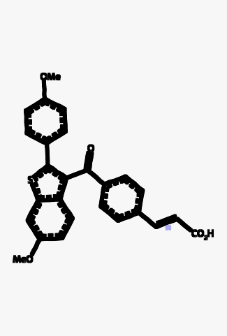 COc1ccc(-c2sc3cc(OC)ccc3c2C(=O)c2ccc(/C=C/C(=O)O)cc2)cc1